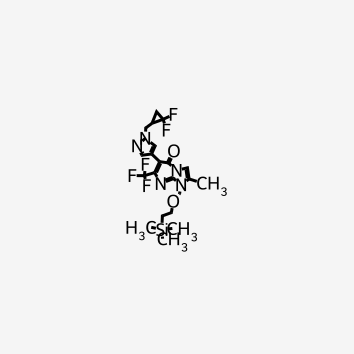 Cc1cn2c(=O)c(-c3cnn(CC4CC4(F)F)c3)c(C(F)(F)F)nc2n1COCC[Si](C)(C)C